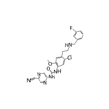 COc1cc(CCNCc2cccc(F)c2)c(Cl)cc1NC(=O)Nc1cnc(C#N)cn1